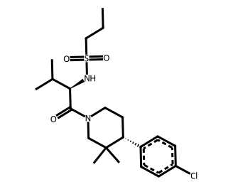 CCCS(=O)(=O)N[C@@H](C(=O)N1CC[C@H](c2ccc(Cl)cc2)C(C)(C)C1)C(C)C